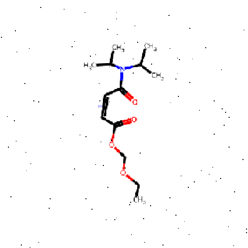 CCOCOC(=O)/C=C\C(=O)N(C(C)C)C(C)C